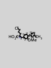 COc1cc(/C=C(\CCCCl)C(=O)O)ccc1-n1cnc(C)n1